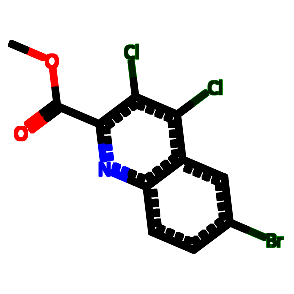 COC(=O)c1nc2ccc(Br)cc2c(Cl)c1Cl